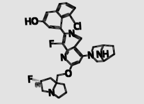 Oc1cc(-c2ncc3c(N4CC5CCC(C4)N5)cc(OCC45CCCN4C[C@H](F)C5)nc3c2F)c2c(Cl)cccc2c1